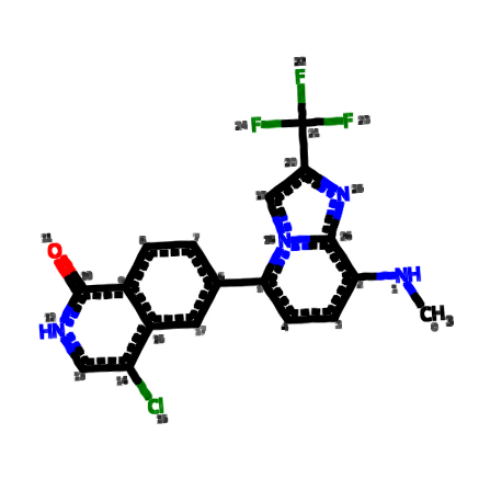 CNc1ccc(-c2ccc3c(=O)[nH]cc(Cl)c3c2)n2cc(C(F)(F)F)nc12